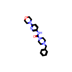 O=C(Nc1ccc(N2CCOCC2)nc1)N1CCN(Cc2ccccc2)CC1